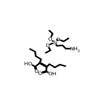 CCCC/C(C(=O)O)=C(\CCCC)C(=O)O.CCO[Si](CCCN)(OCC)OCC